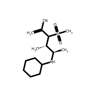 C=C(C#N)C([C@@H](C)[C@@H](C)NC1CCCCC1)S(C)(=O)=O